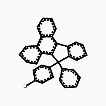 Clc1ccc(C2(c3ccccc3)c3ccccc3-c3c2c2ccccc2c2ccccc32)cc1